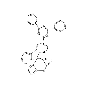 c1ccc(-c2nc(-c3ccccc3)nc(-c3ccc4c(c3)-c3ccccc3C43c4ccccc4Sc4ccccc43)n2)cc1